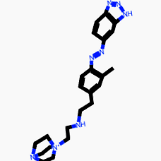 Cc1cc(CCNCC[N+]23CCN(CC2)CC3)ccc1N=Nc1ccc2nn[nH]c2c1